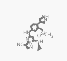 C[S+]([O-])Cc1cc(Nc2cc(NC3CC3)n3ncc(C#N)c3n2)ccc1-c1cn[nH]c1